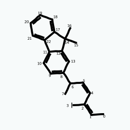 C/C=C(I)\C=C/C(C)c1ccc2c(c1)C(C)(C)c1ccccc1-2